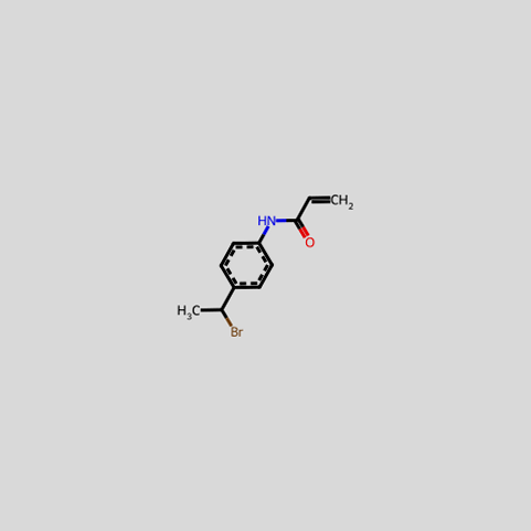 C=CC(=O)Nc1ccc(C(C)Br)cc1